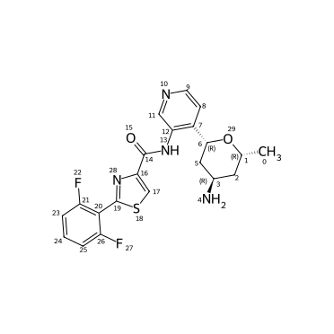 C[C@@H]1C[C@@H](N)C[C@H](c2ccncc2NC(=O)c2csc(-c3c(F)cccc3F)n2)O1